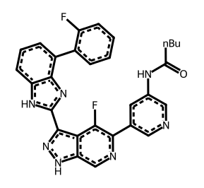 CCCCC(=O)Nc1cncc(-c2ncc3[nH]nc(-c4nc5c(-c6ccccc6F)cccc5[nH]4)c3c2F)c1